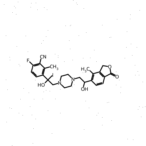 Cc1c(C(O)(I)CN2CCN(CC(O)c3ccc4c(c3C)COC4=O)CC2)ccc(F)c1C#N